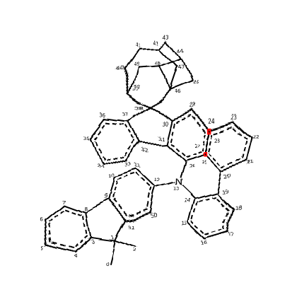 CC1(C)c2ccccc2-c2ccc(N(c3ccccc3-c3ccccc3)c3cccc4c3-c3ccccc3C43C4CCC5CC6CC3(C5)C6C4)cc21